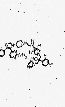 Nc1nccc(-c2c(-c3ccc(F)cc3)ncn2C2CCN(CCNC3[C@H]4CN(CC(O)(Cn5cncn5)c5ccc(F)cc5F)C[C@@H]34)CC2)n1